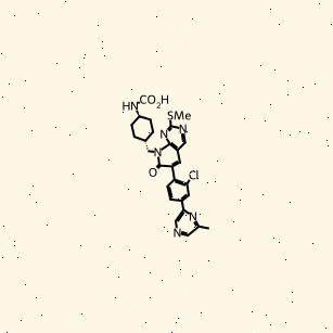 CSc1ncc2cc(-c3ccc(-c4cncc(C)n4)cc3Cl)c(=O)n(C[C@H]3CC[C@H](NC(=O)O)CC3)c2n1